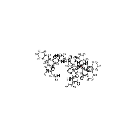 CC[C@H](C)[C@@H](C=O)NC(=O)[C@@H](C)N(C)C(=O)C[C@@H](C(=O)N1CCCCC1)N(C)C(=O)[C@H](C1CCCCC1)N(C)C(=O)C1(NC(=O)[C@@H]2CCCN2C(=O)[C@H](CO)NC(=O)CN(C)C(=O)[C@H](CC2CCCCC2)N(C)C(=O)CN(C)C(=O)CNC)CCCC1